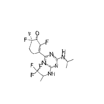 CC(C)Nc1nc(NC(C)C(F)(F)F)nc(C2=C(F)C(=O)C(F)(F)CC2)n1